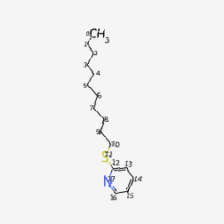 CCCCCCCCCCCSc1ccccn1